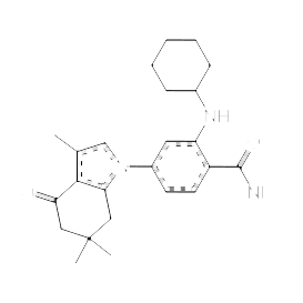 Cc1cn(-c2ccc(C(N)=O)c(NC3CC[CH]CC3)c2)c2c1C(=O)CC(C)(C)C2